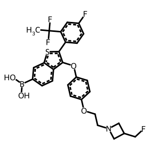 CC(F)(F)c1cc(F)ccc1-c1sc2cc(B(O)O)ccc2c1Oc1ccc(OCCN2CC(CF)C2)cc1